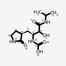 CC(C)NC(=O)C(O)[C@H](C[C@@H]1CCNC1=O)NC(=O)O